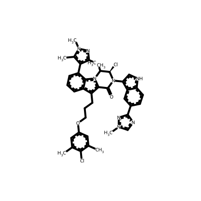 Cc1cc(OCCCc2c3n(c4c(-c5c(C)nn(C)c5C)cccc24)C(C)[C@@H](Cl)N(c2c[nH]c4ccc(-c5ncn(C)n5)cc24)C3=O)cc(C)c1Cl